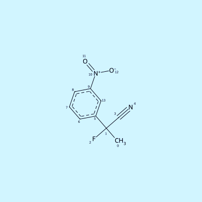 CC(F)(C#N)c1cccc([N+](=O)[O-])c1